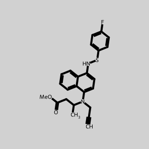 C#CCN(c1ccc(NSc2ccc(F)cc2)c2ccccc12)C(C)CC(=O)OC